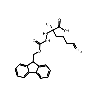 C=CCCC[C@@](C)(NNC(=O)OCC1c2ccccc2-c2ccccc21)C(=O)O